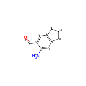 Nc1cc2c(cc1C=O)CCC2